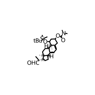 CC(C=O)[C@H]1CC[C@H]2C3=CC=C4CC(OC(=O)N(C)C)CC(O[Si](C)(C)C(C)(C)C)[C@]4(C)[C@H]3CC[C@]12C